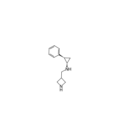 c1ccc([C@H]2C[C@H]2NCC2CNC2)cc1